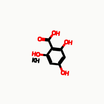 O=C(O)c1c(O)cc(O)cc1O.[KH]